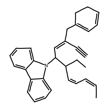 C#C/C(=C\C(C(/C=C\C=C/C)CC)n1c2ccccc2c2ccccc21)CC1=CC=CCC1